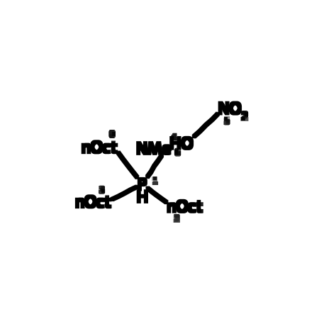 CCCCCCCC[PH](CCCCCCCC)(CCCCCCCC)NC.O=[N+]([O-])O